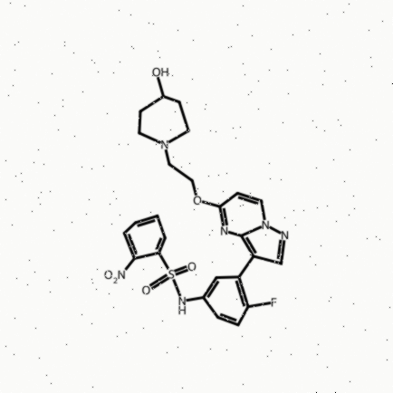 O=[N+]([O-])c1ccccc1S(=O)(=O)Nc1ccc(F)c(-c2cnn3ccc(OCCN4CCC(O)CC4)nc23)c1